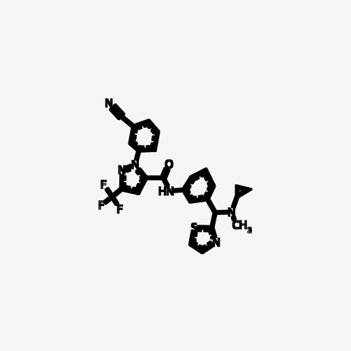 CN(C1CC1)C(c1cccc(NC(=O)c2cc(C(F)(F)F)nn2-c2cccc(C#N)c2)c1)c1nccs1